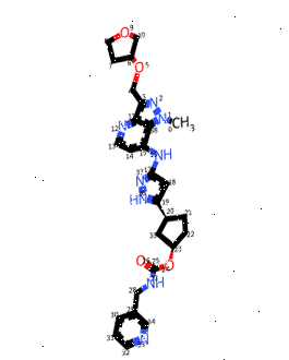 Cn1nc(COC2CCOC2)c2nccc(Nc3cc([C@H]4CC[C@@H](OC(=O)NCc5cccnc5)C4)[nH]n3)c21